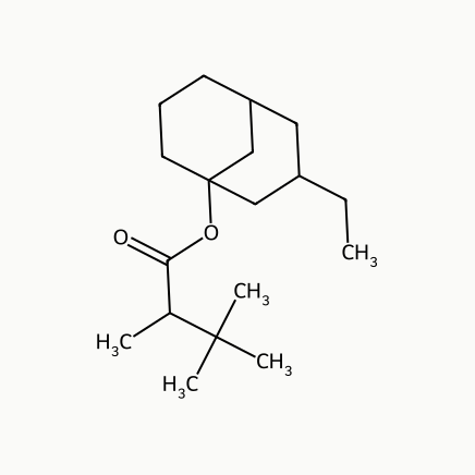 CCC1CC2CCCC(OC(=O)C(C)C(C)(C)C)(C1)C2